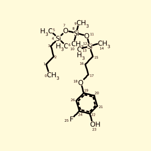 CCCC[Si](C)(C)O[Si](C)(C)O[Si](C)(C)CCCOc1ccc(O)c(F)c1